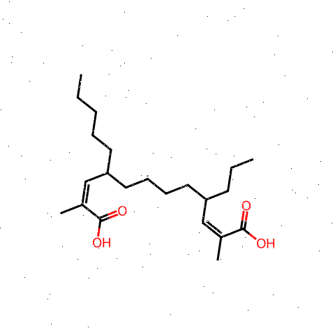 CCCCCC(C=C(C)C(=O)O)C[CH]CCC(C=C(C)C(=O)O)CCC